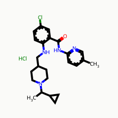 Cc1ccc(NC(=O)c2cc(Cl)ccc2NCC2CCN(C(C)C3CC3)CC2)nc1.Cl